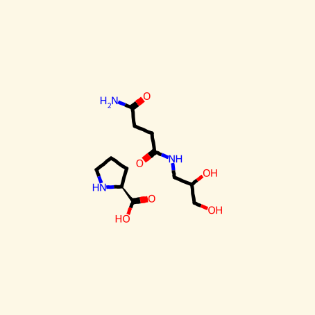 NC(=O)CCC(=O)NCC(O)CO.O=C(O)[C@@H]1CCCN1